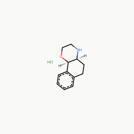 Cl.c1ccc2c(c1)CC[C@@H]1NCCO[C@H]21